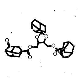 O=C1C2CC3CC1CC(C(=O)OCC1OC4(OC1COC(=O)C15CC6CC(C1)C(=O)C(C6)C5)C1CC5CC(C1)CC4C5)(C3)C2